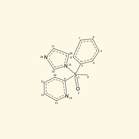 CS(=O)(c1ccccc1)(c1ccccn1)n1ccnc1